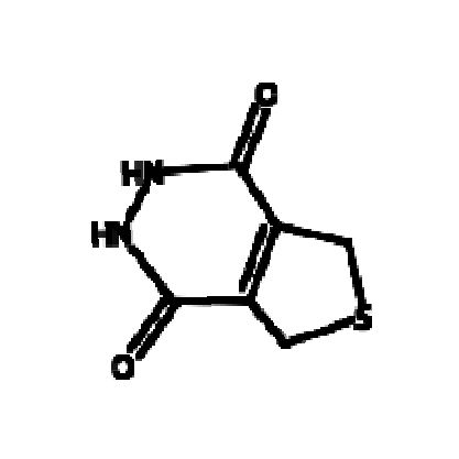 O=c1[nH][nH]c(=O)c2c1CSC2